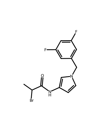 CC(Br)C(=O)Nc1ccn(Cc2cc(F)cc(F)c2)c1